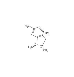 Cc1ccc2c(c1)[C@H](N)[C@@H](C)C2.Cl